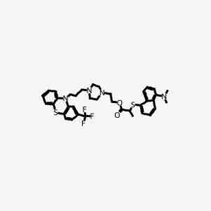 CC(Sc1cccc2c(N(C)C)cccc12)C(=O)OCCN1CCN(CCCN2c3ccccc3Sc3ccc(C(F)(F)F)cc32)CC1